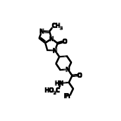 Cc1ncc2n1C(=O)N(C1CCN(C(=O)C(CC(C)C)NC(=O)O)CC1)C2